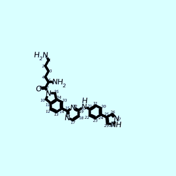 NCCCCC(N)C(=O)N1Cc2ccc(-c3nccc(Nc4ccc(-c5cn[nH]c5)cc4)n3)cc2C1